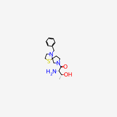 C[C@@H](O)[C@H](N)C(=O)N1CCC2(C1)SCCN2Cc1ccccc1